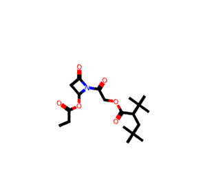 CCC(=O)OC1CC(=O)N1C(=O)COC(=O)C(CC(C)(C)C)C(C)(C)C